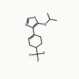 CC(C)Sc1scnc1C1=CCC(C(F)(F)F)CC1